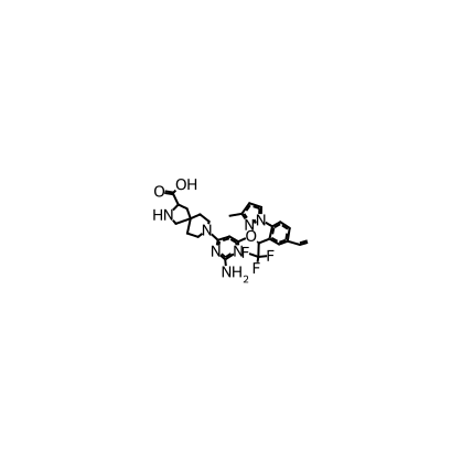 C=Cc1ccc(-n2ccc(C)n2)c([C@@H](Oc2cc(N3CCC4(CC3)CNC(C(=O)O)C4)nc(N)n2)C(F)(F)F)c1